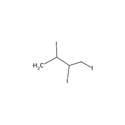 [CH2]C(I)C(I)CI